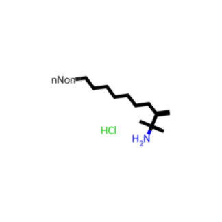 C=C(CCCCCCCCCCCCCCCC)C(C)(C)N.Cl